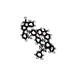 CC1(C)c2ccccc2-c2c1ccc1c3ccccc3n(-c3cc(-c4cccc(-n5c6ccccc6c6ccc7c(c65)-c5ccccc5C7(C)C)c4C#N)ccc3-c3nc(-c4ccccc4)nc(-c4ccccc4)n3)c21